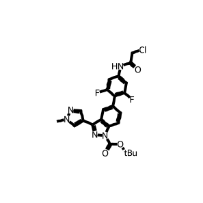 Cn1cc(-c2nn(C(=O)OC(C)(C)C)c3ccc(-c4c(F)cc(NC(=O)CCl)cc4F)cc23)cn1